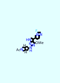 COc1nc(N[C@@H]2C[C@@H]3CN(C(C)=O)C[C@@H]3C2)nc2[nH]cc(-c3ccc4ncc(F)n4c3)c12